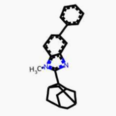 Cn1c(C2C3CC4CC(C3)CC2C4)nc2cc(-c3ccccc3)ccc21